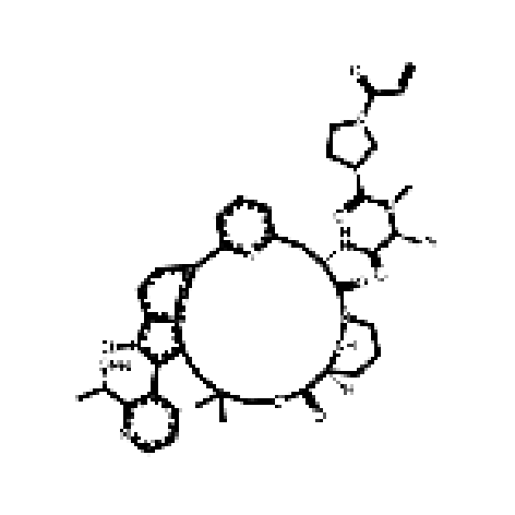 C=CC(=O)N1CC[C@H](C(=O)N(C)[C@H](C(=O)N[C@H]2Cc3cccc(n3)-c3ccc4c(c3)c(c(-c3cccnc3[C@H](C)OC)n4CC)CC(C)(C)COC(=O)[C@@H]3CCCN(N3)C2=O)C(C)C)C1